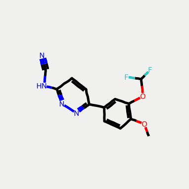 COc1ccc(-c2ccc(NC#N)nn2)cc1OC(F)F